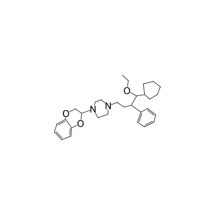 CCOC(C1CCCCC1)C(CCN1CCN(C2COc3ccccc3O2)CC1)c1ccccc1